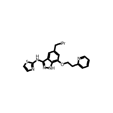 CC(C)Cc1cc(OCCc2ccccn2)c2[nH]nc(Nc3nccs3)c2c1